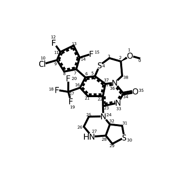 CO[C@@H]1CSc2c(-c3cc(Cl)c(F)cc3F)c(C(F)(F)F)cc3c(N4CCNC5CSCC54)nc(=O)n(c23)C1